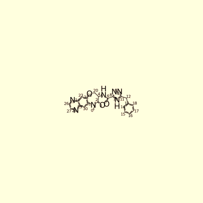 CN1C(=O)C(NC(=O)c2nnc(Cc3ccccc3)[nH]2)COc2cc3nccnc3cc21